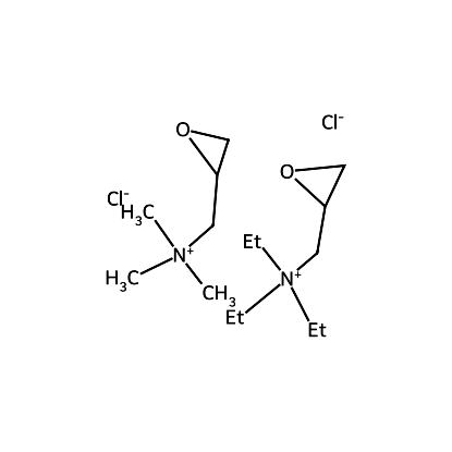 CC[N+](CC)(CC)CC1CO1.C[N+](C)(C)CC1CO1.[Cl-].[Cl-]